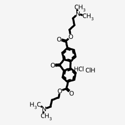 CN(C)CCCOC(=O)c1ccc2c(c1)C(=O)c1cc(C(=O)OCCCN(C)C)ccc1-2.Cl.Cl